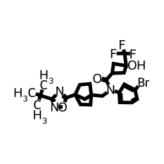 CC(C)(C)c1noc(C23CCC(CN(C(=O)C4CC(O)(C(F)(F)F)C4)c4cccc(Br)c4)(CC2)C3)n1